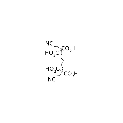 N#CCCC(CCCCCC(CCC#N)(C(=O)O)C(=O)O)(C(=O)O)C(=O)O